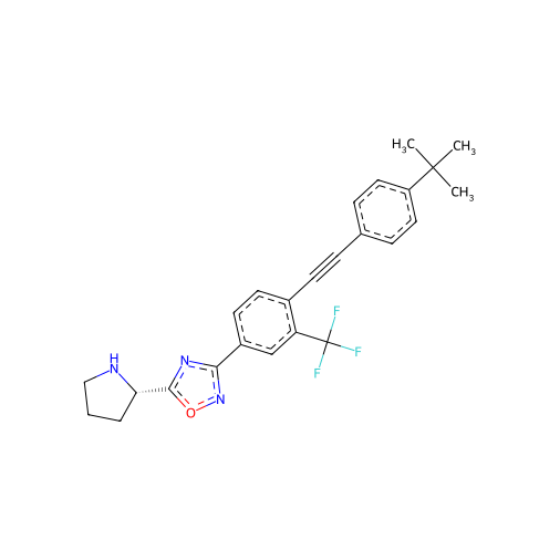 CC(C)(C)c1ccc(C#Cc2ccc(-c3noc([C@@H]4CCCN4)n3)cc2C(F)(F)F)cc1